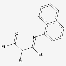 CCC(=O)C(CC)C(CC)=Nc1cccc2cccnc12